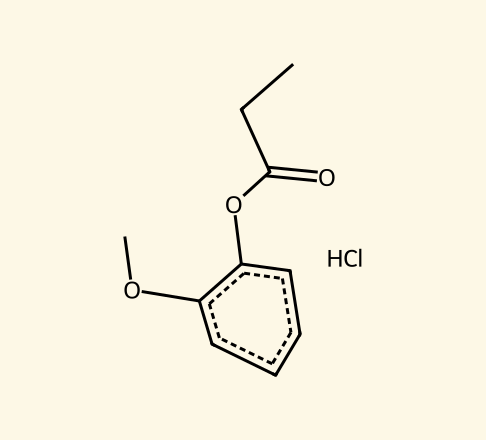 CCC(=O)Oc1ccccc1OC.Cl